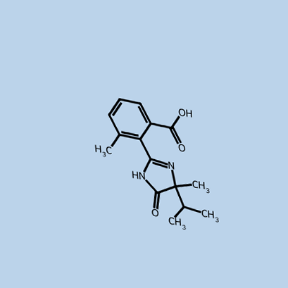 Cc1cccc(C(=O)O)c1C1=NC(C)(C(C)C)C(=O)N1